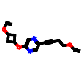 CC(C)(C)OCCC#Cc1cnc(OC2CC(OC(C)(C)C)C2)cn1